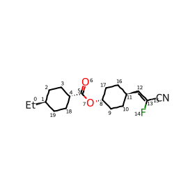 CC[C@H]1CC[C@H](C(=O)O[C@H]2CC[C@H](C=C(F)C#N)CC2)CC1